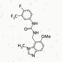 COc1ccc2ncn(C)c2c1CNC(=O)Nc1ccc(F)c(C(F)(F)F)c1